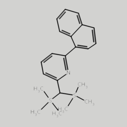 CS(C)(C)C(c1cccc(-c2cccc3ccccc23)n1)S(C)(C)C